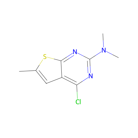 Cc1cc2c(Cl)nc(N(C)C)nc2s1